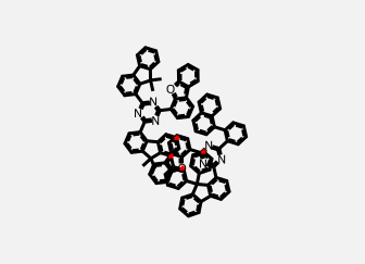 CC1(C)c2ccccc2-c2cccc(-c3nc(-c4cccc5c4-c4cccc(-c6cccc(C7(c8ccccc8)c8ccccc8-c8cccc(-c9nc(-c%10ccccc%10-c%10cccc%11ccccc%10%11)nc(-c%10cccc%11c%10oc%10ccccc%10%11)n9)c87)c6)c4C5(C)C)nc(-c4cccc5c4oc4ccccc45)n3)c21